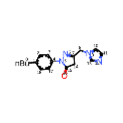 CCCCc1ccc(N2N=C(Cn3ccnc3)CC2=O)cc1